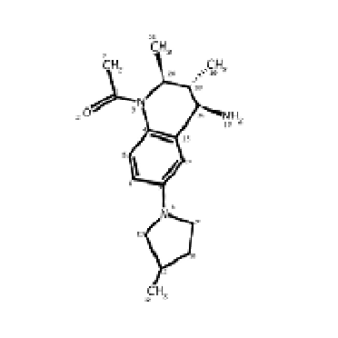 CC(=O)N1c2ccc(N3CCC(C)C3)cc2[C@H](N)[C@@H](C)[C@@H]1C